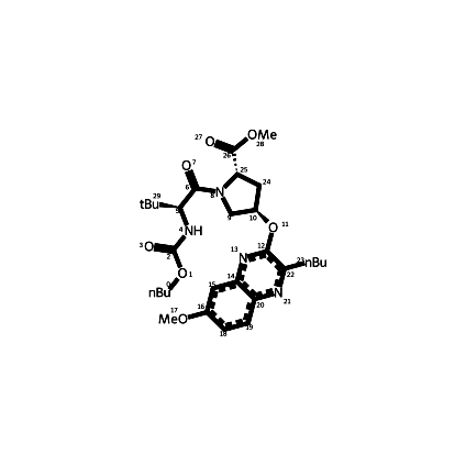 CCCCOC(=O)N[C@H](C(=O)N1C[C@H](Oc2nc3cc(OC)ccc3nc2CCCC)C[C@H]1C(=O)OC)C(C)(C)C